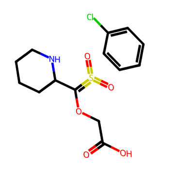 Clc1ccccc1.O=C(O)COC(C1CCCCN1)=S(=O)=O